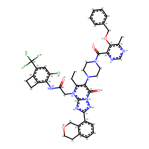 CCc1c(N2CCN(C(=O)c3ncnc(C)c3OCc3ccccc3)CC2)c(=O)n2nc(-c3cccc4c3COCC4)nc2n1CC(=O)Nc1c(Cl)cc(C(F)(F)F)c2c1CC2